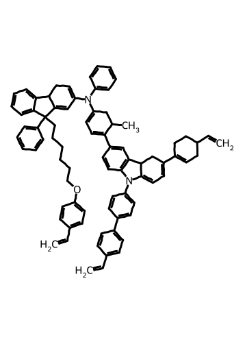 C=Cc1ccc(OCCCCCCC2(c3ccccc3)C3=CC(N(C4=CC=C(c5ccc6c(c5)C5CC(C7=CCC(C=C)CC7)=CC=C5N6c5ccc(-c6ccc(C=C)cc6)cc5)C(C)C4)c4ccccc4)=CCC3c3ccccc32)cc1